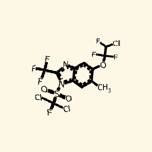 Cc1cc2c(cc1OC(F)(F)C(F)Cl)nc(C(F)(F)F)n2S(=O)(=O)C(F)(Cl)Cl